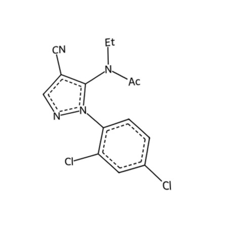 CCN(C(C)=O)c1c(C#N)cnn1-c1ccc(Cl)cc1Cl